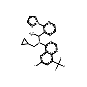 CC(c1nccnc1-n1nccn1)N(CC1CC1)c1ncnc2c(C(F)(F)F)cc(Cl)cc12